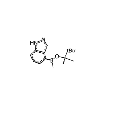 CB(OC(C)(C)C(C)(C)C)c1cccc2[nH]ncc12